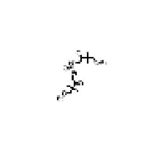 CCOCC(C)(C)C(=O)CO[PH](=O)OCC(=O)C(C)(C)COCC